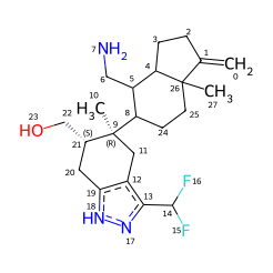 C=C1CCC2C(CN)C([C@@]3(C)Cc4c(C(F)F)n[nH]c4C[C@@H]3CO)CCC12C